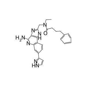 CCN(Cc1nc2c(N)nc3cc(-c4cc[nH]n4)ccc3c2[nH]1)C(=O)CCCc1ccccc1